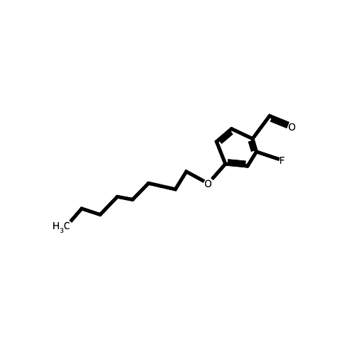 CCCCCCCCOc1ccc(C=O)c(F)c1